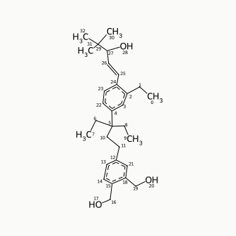 CCc1cc(C(CC)(CC)CCc2ccc(CO)c(CO)c2)ccc1C=CC(O)C(C)(C)C